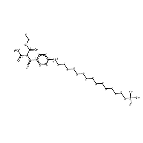 CCOC(=O)C(C(=O)O)C(=O)c1ccc(NCCCCCCCCCCCCCCCC(F)(F)F)cc1